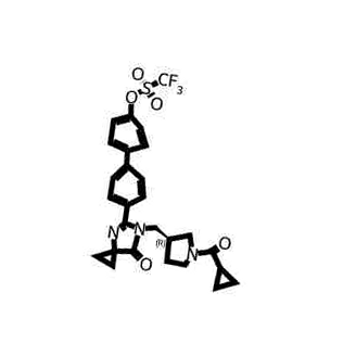 O=C(C1CC1)N1CC[C@@H](CN2C(=O)C3(CC3)N=C2c2ccc(-c3ccc(OS(=O)(=O)C(F)(F)F)cc3)cc2)C1